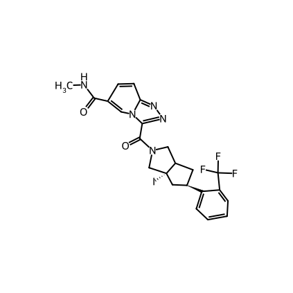 CNC(=O)c1ccc2nnc(C(=O)N3CC4C[C@@H](c5ccccc5C(F)(F)F)C[C@@]4(I)C3)n2c1